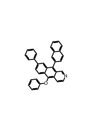 c1ccc(Oc2c3ccncc3c(-c3ccc4ccccc4c3)c3cc(-c4ccccc4)ccc23)cc1